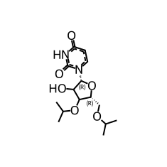 CC(C)OC[C@H]1O[C@@H](n2ccc(=O)[nH]c2=O)C(O)C1OC(C)C